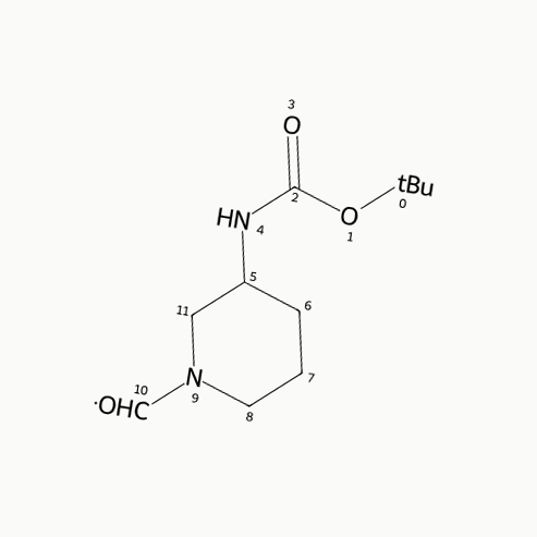 CC(C)(C)OC(=O)NC1CCCN([C]=O)C1